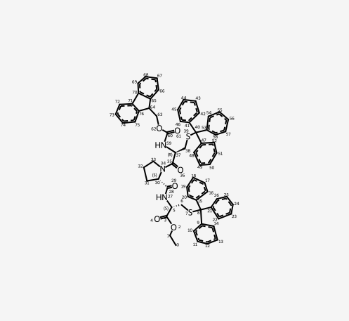 CCOC(=O)[C@@H](CSC(c1ccccc1)(c1ccccc1)c1ccccc1)NC(=O)[C@@H]1CCCN1C(=O)[C@H](CSC(c1ccccc1)(c1ccccc1)c1ccccc1)NC(=O)OCC1c2ccccc2-c2ccccc21